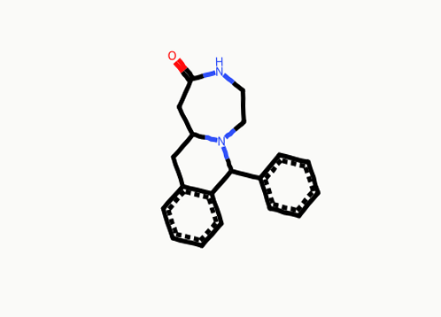 O=C1CC2Cc3ccccc3C(c3ccccc3)N2CCN1